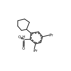 CC(C)c1cc(C(C)C)c([SH](=O)=O)c(C2CCCCC2)c1